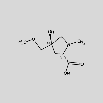 COC[C@@]1(O)C[C@@H](C(=O)O)N(C)C1